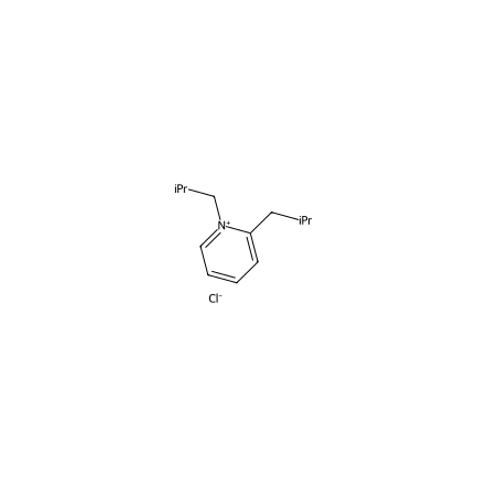 CC(C)Cc1cccc[n+]1CC(C)C.[Cl-]